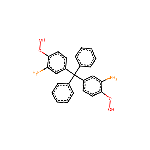 OOc1ccc(C(c2ccccc2)(c2ccccc2)c2ccc(OO)c(P)c2)cc1P